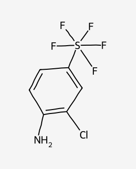 Nc1ccc(S(F)(F)(F)(F)F)cc1Cl